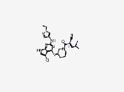 CCn1cc(Nc2nc(SC3CCCN(C(=O)/C(C#N)=C/C(C)C)C3)c3c(Cl)c[nH]c3n2)cn1